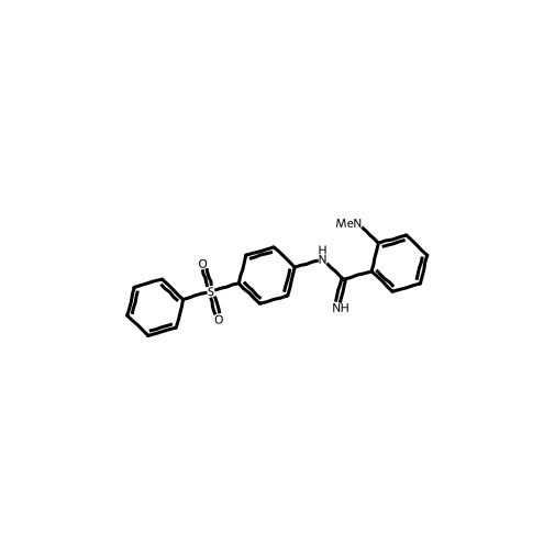 CNc1ccccc1C(=N)Nc1ccc(S(=O)(=O)c2ccccc2)cc1